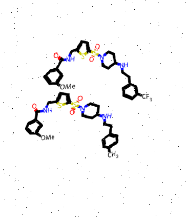 COc1cccc(C(=O)NCc2ccc(S(=O)(=O)N3CCC(NCCc4ccc(C)cc4)CC3)s2)c1.COc1cccc(C(=O)NCc2ccc(S(=O)(=O)N3CCC(NCCc4cccc(C(F)(F)F)c4)CC3)s2)c1